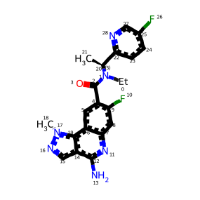 CCN(C(=O)c1cc2c(cc1F)nc(N)c1cnn(C)c12)[C@@H](C)c1ccc(F)cn1